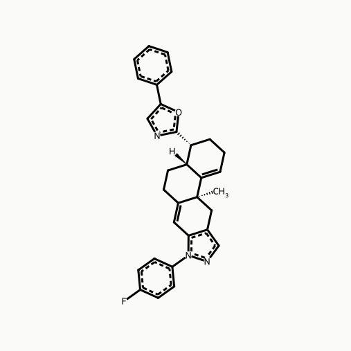 C[C@]12Cc3cnn(-c4ccc(F)cc4)c3C=C1CC[C@H]1C2=CCC[C@H]1c1ncc(-c2ccccc2)o1